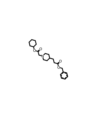 O=C(CCC1CCN(CC(=O)OC2CCCCC2)CC1)OCc1ccccc1